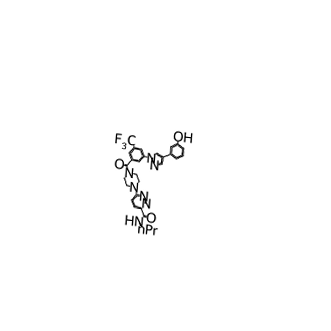 CCCNC(=O)c1ccc(N2CCN(C(=O)c3cc(-n4cc(-c5cccc(O)c5)cn4)cc(C(F)(F)F)c3)CC2)nn1